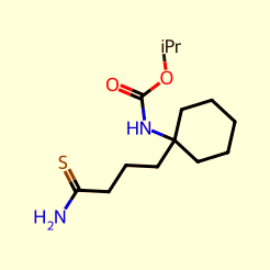 CC(C)OC(=O)NC1(CCCC(N)=S)CCCCC1